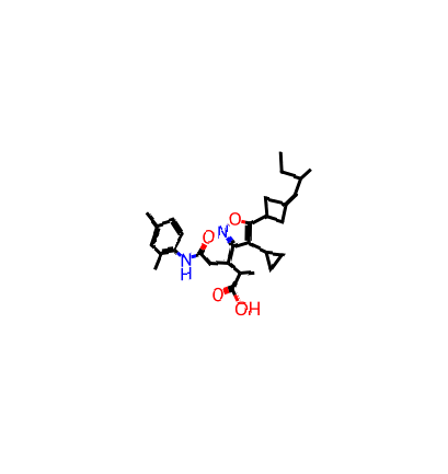 CCC(C)CC1CC(c2onc(C(CC(=O)Nc3ccc(C)cc3C)C(C)C(=O)O)c2C2CC2)C1